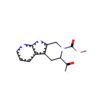 COC(=O)C1Cc2c([nH]c3ncccc23)CN1C(=O)OC(C)(C)C